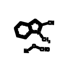 CCOC=O.Cn1c(C#N)cc2ccccc21